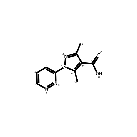 Cc1nn(-c2cccnn2)c(C)c1C(=O)O